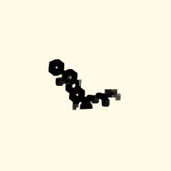 NC(=O)COCC1(c2cc(F)c(CN3CCC[C@H](c4ccccc4)[S+]3[O-])cc2F)CC1